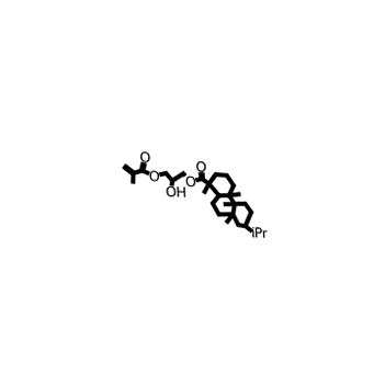 C=C(C)C(=O)OCC(O)COC(=O)C1(C)CCCC2(C)C1CCC1(C)CC(C(C)C)CCC12C